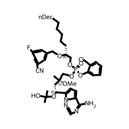 CCCCCCCCCCCCCCC[C@H](COP(=O)(OC[C@](C)(C[C@@H](OC(C)(C)O)c1ccc2c(N)ncnn12)OC)Oc1ccccc1Cl)OCc1cc(F)cc(C#N)c1